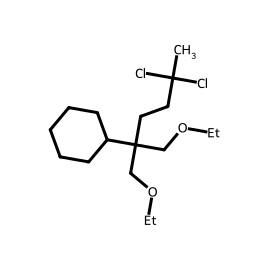 CCOCC(CCC(C)(Cl)Cl)(COCC)C1CCCCC1